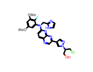 COc1cc(OC)c(F)c(N(Cc2ncc[nH]2)c2ccc3ncc(-c4cnn(C(CO)CCl)c4)nc3n2)c1